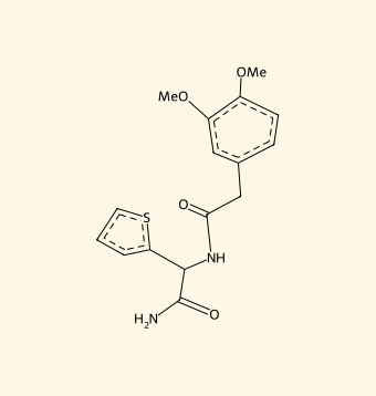 COc1ccc(CC(=O)NC(C(N)=O)c2cccs2)cc1OC